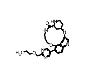 CCCOCc1ncc(-c2ccc3ncc4cc3c2OCCCNC(=O)[C@@H]2C[C@H](CCN2)O4)cn1